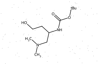 CN(C)CC(CCO)NC(=O)OC(C)(C)C